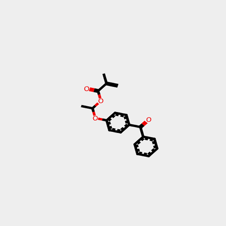 C=C(C)C(=O)OC(C)Oc1ccc(C(=O)c2ccccc2)cc1